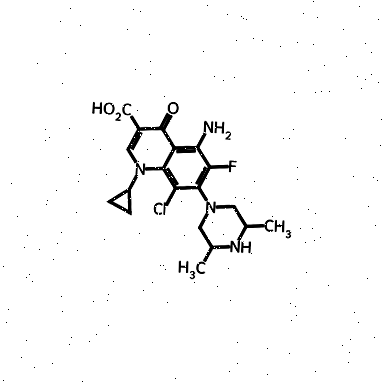 CC1CN(c2c(F)c(N)c3c(=O)c(C(=O)O)cn(C4CC4)c3c2Cl)CC(C)N1